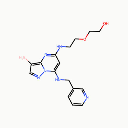 Bc1cnn2c(NCc3cccnc3)cc(NCCOCCO)nc12